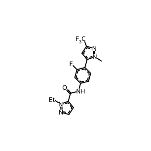 CCn1nccc1C(=O)Nc1ccc(-c2cc(C(F)(F)F)nn2C)c(F)c1